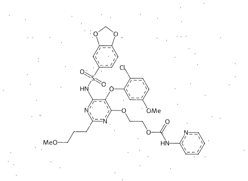 COCCCc1nc(NS(=O)(=O)c2ccc3c(c2)OCO3)c(Oc2cc(OC)ccc2Cl)c(OCCOC(=O)Nc2ccccn2)n1